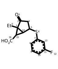 CCC12C(=O)CC(Sc3cccc(F)c3)C1C2C(=O)O